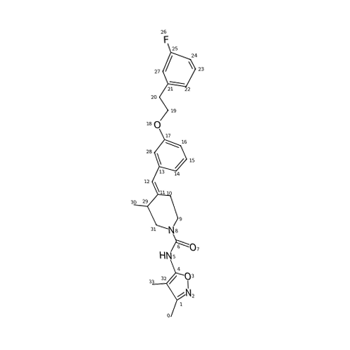 Cc1noc(NC(=O)N2CCC(=Cc3cccc(OCCc4cccc(F)c4)c3)C(C)C2)c1C